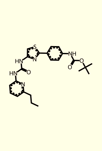 CCCc1cccc(NC(=O)Nc2csc(-c3ccc(NC(=O)OC(C)(C)C)cc3)n2)n1